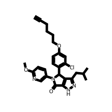 C#CCCCCOc1ccc(C2c3c(CC(C)C)n[nH]c3C(=O)N2c2ccc(OC)nc2)c(Cl)c1